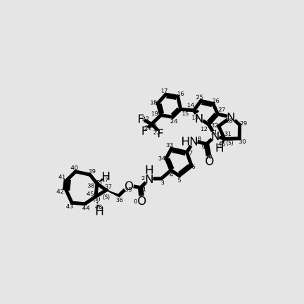 O=C(NCc1ccc(NC(=O)N2c3nc(-c4cccc(C(F)(F)F)c4)ccc3N3CC[C@H]2C3)cc1)OC[C@@H]1[C@@H]2CCC#CCC[C@@H]21